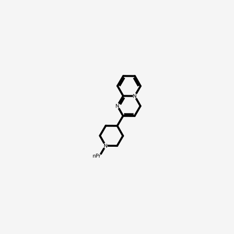 CCCN1CCC(C2=CCN3C=CC=CC3=N2)CC1